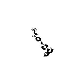 COCCC(=O)N[C@H]1CC[C@H](CCN2CCN(c3nccc4ccoc34)CC2)CC1